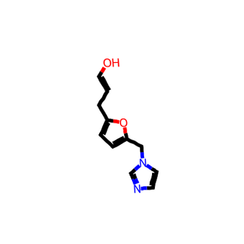 OC=CCc1ccc(Cn2ccnc2)o1